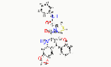 Nc1c(Cc2ccc3c(c2)OCO3)c(Oc2ccccc2)c2n(c1=O)[C@H](C(=O)Nc1ccccc1)CS2